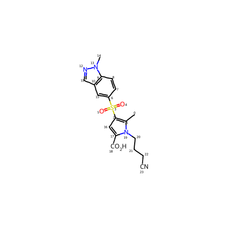 Cc1c(S(=O)(=O)c2ccc3c(cnn3C)c2)cc(C(=O)O)n1CCCC#N